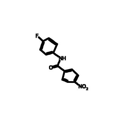 O=C(Nc1ccc(F)cc1)c1ccc([N+](=O)[O-])cc1